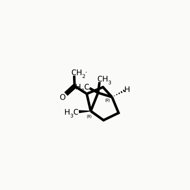 [CH2]C(=O)C1C[C@H]2CC[C@@]1(C)C2(C)C